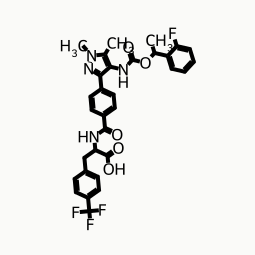 Cc1c(NC(=O)OC(C)c2ccccc2F)c(-c2ccc(C(=O)NC(Cc3ccc(C(F)(F)F)cc3)C(=O)O)cc2)nn1C